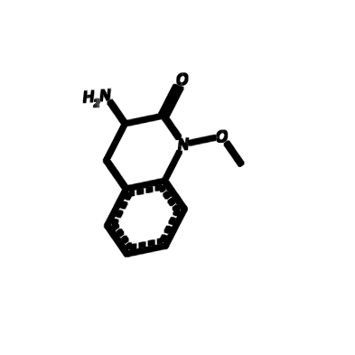 CON1C(=O)C(N)Cc2ccccc21